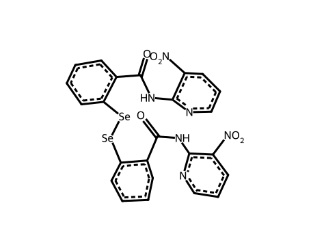 O=C(Nc1ncccc1[N+](=O)[O-])c1ccccc1[Se][Se]c1ccccc1C(=O)Nc1ncccc1[N+](=O)[O-]